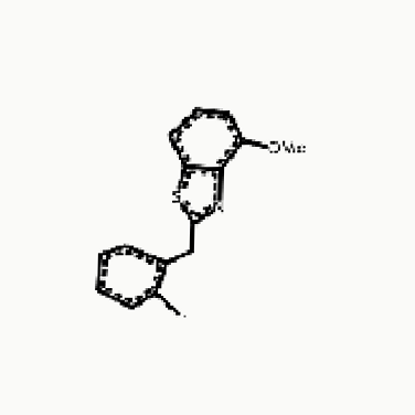 [CH2]c1ccccc1Cc1nc2c(OC)cccc2s1